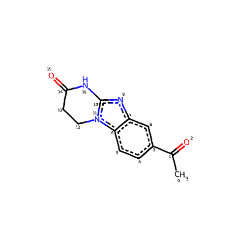 CC(=O)c1ccc2c(c1)nc1n2CCC(=O)N1